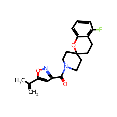 C=C(C)c1cc(C(=O)N2CCC3(CCc4c(F)cccc4O3)CC2)no1